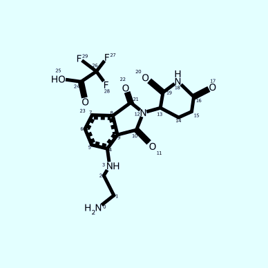 NCCNc1cccc2c1C(=O)N(C1CCC(=O)NC1=O)C2=O.O=C(O)C(F)(F)F